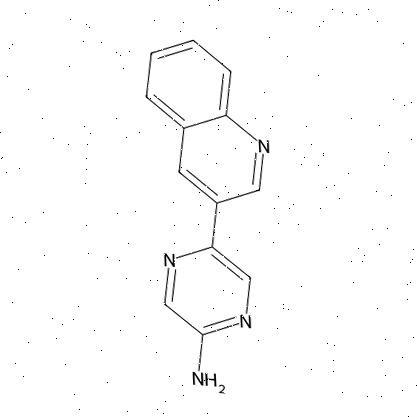 Nc1cnc(-c2cnc3ccccc3c2)cn1